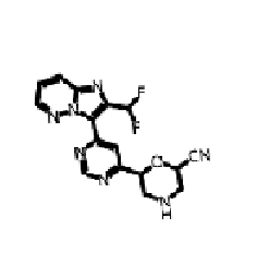 N#CC1CNCC(c2cc(-c3c(C(F)F)nc4cccnn34)ncn2)O1